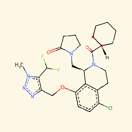 Cn1nnc(COc2ccc(Cl)c3c2[C@@H](CN2CCCC2=O)N(C(=O)[C@@H]2CC4CCC2CC4)CC3)c1C(F)F